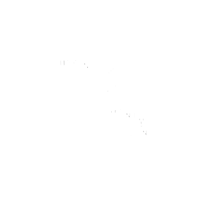 CC=C(c1cc(CC(=O)NCc2c(C)cc(C)[nH]c2=O)cs1)C1CCN(C(=O)O)CC1